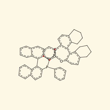 c1ccc(P(c2ccccc2)c2ccc3ccccc3c2-c2c(Op3oc4ccc5c(c4c4c6c(ccc4o3)CCCC6)CCCC5)ccc3ccccc23)cc1